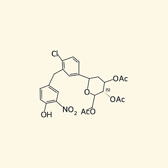 CC(=O)OCC1OC(c2ccc(Cl)c(Cc3ccc(O)c([N+](=O)[O-])c3)c2)CC(OC(C)=O)[C@@H]1OC(C)=O